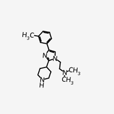 Cc1cccc(-c2cn(CCN(C)C)c(C3CCNCC3)n2)c1